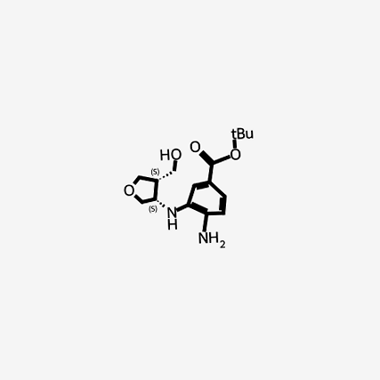 CC(C)(C)OC(=O)c1ccc(N)c(N[C@@H]2COC[C@@H]2CO)c1